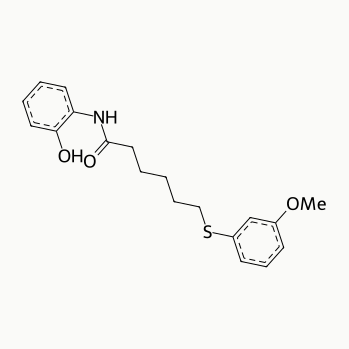 COc1cccc(SCCCCCC(=O)Nc2ccccc2O)c1